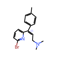 Cc1ccc(/C(=C/CN(C)C)c2cccc(Br)n2)cc1